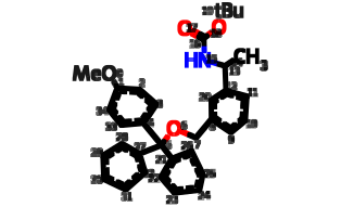 COc1ccc(C(OCc2cccc(C(C)NC(=O)OC(C)(C)C)c2)(c2ccccc2)c2ccccc2)cc1